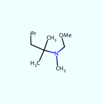 COCN(C)C(C)(C)CC(C)C